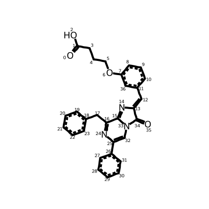 O=C(O)CCCOc1cccc(/C=C2\N=C3C(Cc4ccccc4)=NC(c4ccccc4)=CN3C2=O)c1